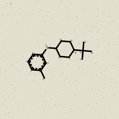 Cc1cccc(SC2CCC(C(C)(C)C)CC2)c1